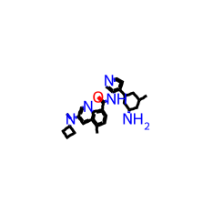 Cc1ccc(C(=O)Nc2cnccc2C2CC(C)CC(N)C2)c2ncc(N(C)C3CCC3)cc12